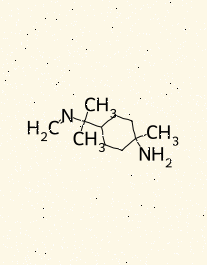 C=NC(C)(C)C1CCC(C)(N)CC1